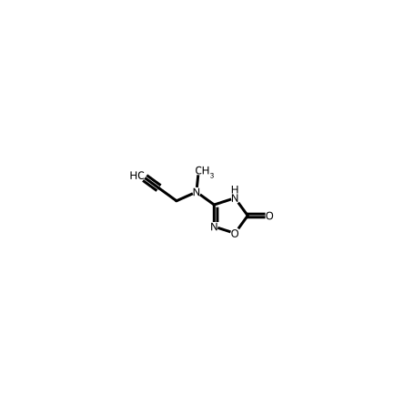 C#CCN(C)c1noc(=O)[nH]1